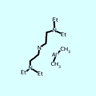 CCN(CC)CC[N-]CCN(CC)CC.[CH3][Al+][CH3]